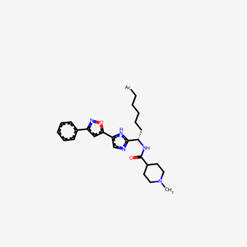 CC(=O)CCCCC[C@H](NC(=O)C1CCN(C)CC1)c1ncc(-c2cc(-c3ccccc3)no2)[nH]1